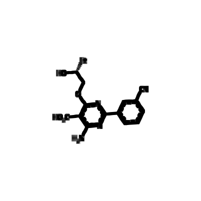 CC[C@@H](O)COc1nc(-c2cccc(C#N)c2)nc(N)c1C(=O)O